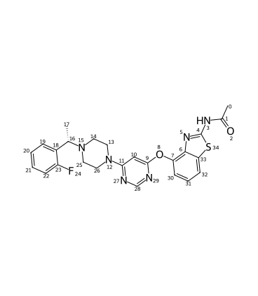 CC(=O)Nc1nc2c(Oc3cc(N4CCN([C@@H](C)c5ccccc5F)CC4)ncn3)cccc2s1